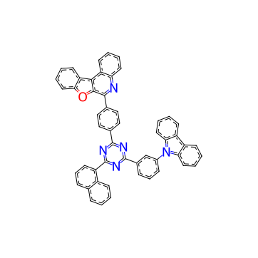 c1cc(-c2nc(-c3ccc(-c4nc5ccccc5c5c4oc4ccccc45)cc3)nc(-c3cccc4ccccc34)n2)cc(-n2c3ccccc3c3ccccc32)c1